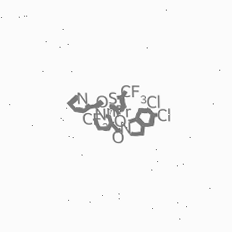 CCC[C@H]1N(C(=O)c2ncccc2C(F)(F)F)CCC[C@]1(Oc1csc(C(F)(F)F)c1)C(=O)N1CCc2cc(Cl)c(Cl)cc2C1